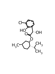 CC(C)[C@@H]1CC[C@@H](C)C[C@H]1OC(=O)[C@@H](O)c1cccc(Cl)c1O